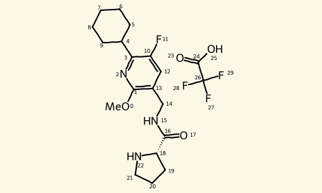 COc1nc(C2CCCCC2)c(F)cc1CNC(=O)[C@@H]1CCCN1.O=C(O)C(F)(F)F